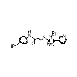 CCn1c(SCCC(=O)Nc2ccc(C(C)C)cc2)nnc1-c1cccnc1